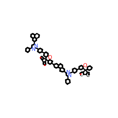 C1=Cc2cc(-c3cc(-c4ccccc4)nc(-c4ccc(-c5ccc6c(c5)C5(c7ccc(-c8ccc9c(ccc%10cc(-c%11cc(-c%12ccccc%12)nc(-c%12ccc(-c%13ccc%14c(c%13)C%13(c%15ccccc%15O%14)c%14ccccc%14-c%14ccccc%14%13)cc%12)n%11)ccc%109)c8)cc7O6)c6ccccc6-c6ccccc65)cc4)n3)cc3cccc(c23)C1